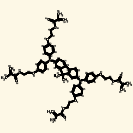 C=C(C)C(=O)OCCOc1ccc(N(c2ccc(OCCOC(=O)C(=C)C)cc2)c2ccc3c(c2)C(C)(C)c2cc(N(c4ccc(OCCOC(=O)C(=C)C)cc4)c4ccc(OCCOC(=O)C(=C)C)cc4)ccc2-3)cc1